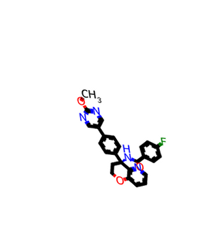 COc1ncc(-c2ccc([C@@]3(NC(=O)c4ccc(F)cc4)CCOc4cccnc43)cc2)cn1